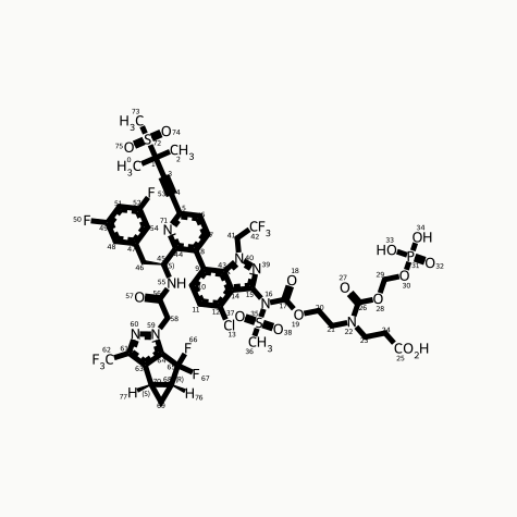 CC(C)(C#Cc1ccc(-c2ccc(Cl)c3c(N(C(=O)OCCN(CCC(=O)O)C(=O)OCOP(=O)(O)O)S(C)(=O)=O)nn(CC(F)(F)F)c23)c([C@H](Cc2cc(F)cc(F)c2)NC(=O)Cn2nc(C(F)(F)F)c3c2C(F)(F)[C@@H]2C[C@H]32)n1)S(C)(=O)=O